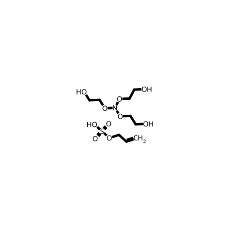 C=CCOS(=O)(=O)O.OCCON(OCCO)OCCO